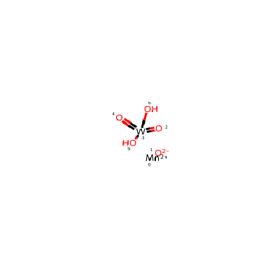 [Mn+2].[O-2].[O]=[W](=[O])([OH])[OH]